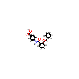 COC(=O)c1ccc(N(C)C(=O)c2ccccc2OCc2ccccc2)cc1